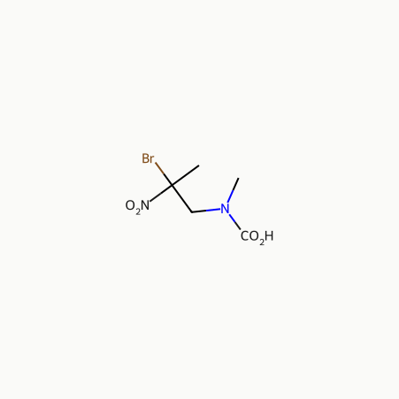 CN(CC(C)(Br)[N+](=O)[O-])C(=O)O